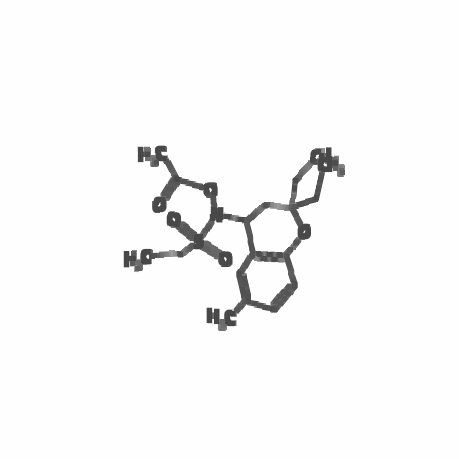 CCC1(CC)CC(N(OC(C)=O)S(=O)(=O)CC)c2cc(C)ccc2O1